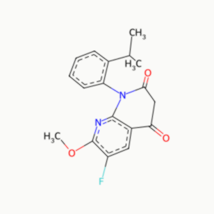 COc1nc2c(cc1F)C(=O)CC(=O)N2c1ccccc1C(C)C